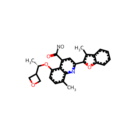 Cc1c(-c2cc(C(=O)N=O)c3c(O[C@@H](C)C4COC4)ccc(C)c3n2)oc2ccccc12